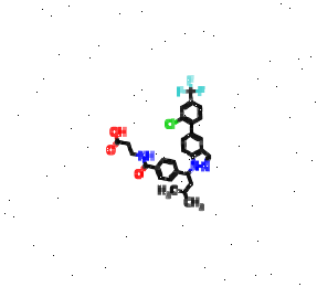 CC(C)CC(c1ccc(C(=O)NCCC(=O)O)cc1)n1ncc2cc(-c3ccc(C(F)(F)F)cc3Cl)ccc21